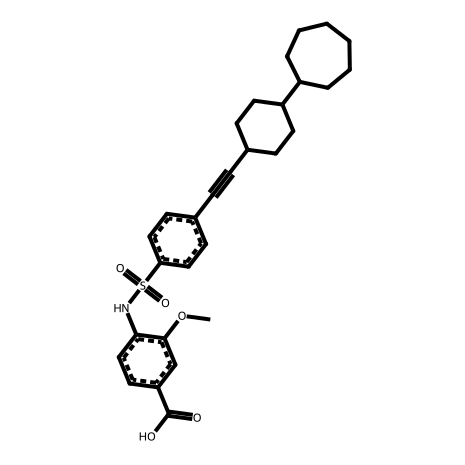 COc1cc(C(=O)O)ccc1NS(=O)(=O)c1ccc(C#CC2CCC(C3CCCCCC3)CC2)cc1